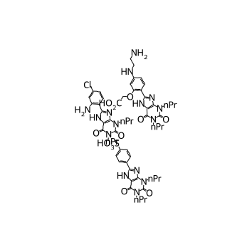 CCCn1c(=O)c2[nH]c(-c3ccc(Cl)cc3N)nc2n(CCC)c1=O.CCCn1c(=O)c2[nH]c(-c3ccc(NCCN)cc3OCC(=O)O)nc2n(CCC)c1=O.CCCn1c(=O)c2[nH]c(-c3ccc(S(=O)(=O)O)cc3)nc2n(CCC)c1=O